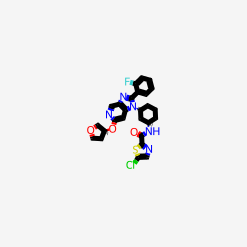 O=C(N[C@H]1CCC[C@@H](n2c(-c3ccccc3F)nc3cnc(O[C@H]4CCOC4)cc32)C1)c1ncc(Cl)s1